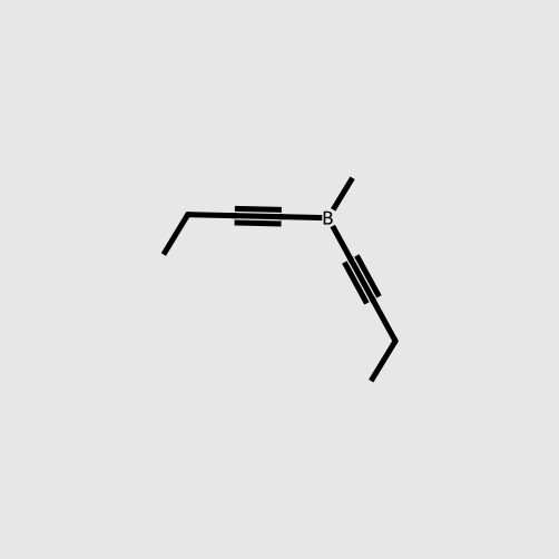 CCC#CB(C)C#CCC